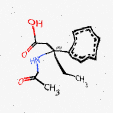 CC[C@](CC(=O)O)(NC(C)=O)c1ccccc1